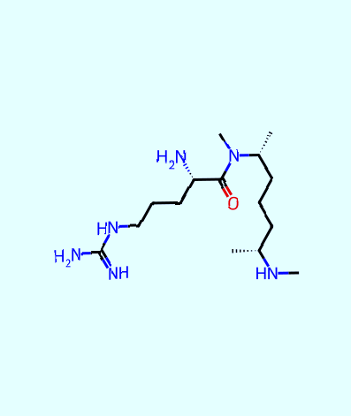 CN[C@H](C)CCC[C@@H](C)N(C)C(=O)[C@@H](N)CCCNC(=N)N